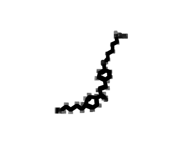 CCCCCCCCCCCCCCCOc1ccc(C=CC(=S)c2ccc(CCCCC(C)C)cc2)cc1